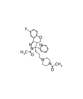 CC(=O)N1CCN(CCC[C@]2(c3ccccc3)[C@@H]3COc4ccc(F)cc4C3=NN2C(C)=O)CC1